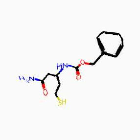 NC(=O)CC(CCS)NC(=O)OCc1ccccc1